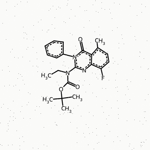 CCN(C(=O)OC(C)(C)C)c1nc2c(F)ccc(C)c2c(=O)n1-c1ccccc1